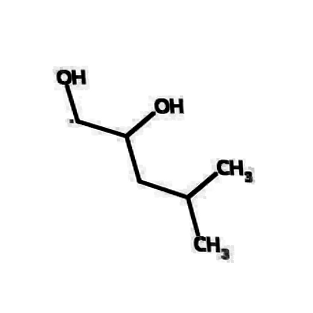 CC(C)CC(O)[CH]O